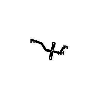 CC(C)CCS(=O)(=O)NC(C)C